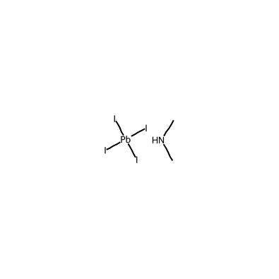 CNC.[I][Pb]([I])([I])[I]